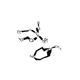 CCC[Si](OCC)(OCC)OCC.CN1CCNCC1